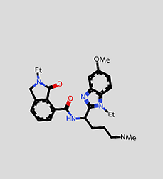 CCN1Cc2cccc(C(=O)NC(CCCNC)c3nc4cc(OC)ccc4n3CC)c2C1=O